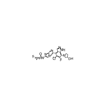 O=C(Nc1cn2cc(-c3c(Cl)c(F)c(N4CCC(O)C4)c4[nH]ncc34)ncc2n1)[C@@H]1C[C@@H]1F